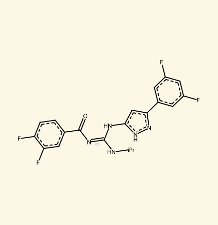 CC(C)N/C(=N/C(=O)c1ccc(F)c(F)c1)Nc1cc(-c2cc(F)cc(F)c2)n[nH]1